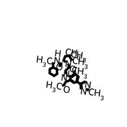 CC(=O)c1nn(CC(=O)N2[C@H](C(=O)N[C@H](C)C3CCCCC3)CC(C)(C)[C@H]2C)c2c(C)cc(-c3cnc(C)nc3)cc12